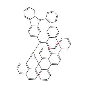 c1ccc(-c2ccc3c4c(cccc24)C2(c4cc(N(c5ccc6c7ccccc7n(-c7ccccc7)c6c5)c5cccc6ccccc56)ccc4-c4cccc5cccc2c45)c2ccccc2-3)cc1